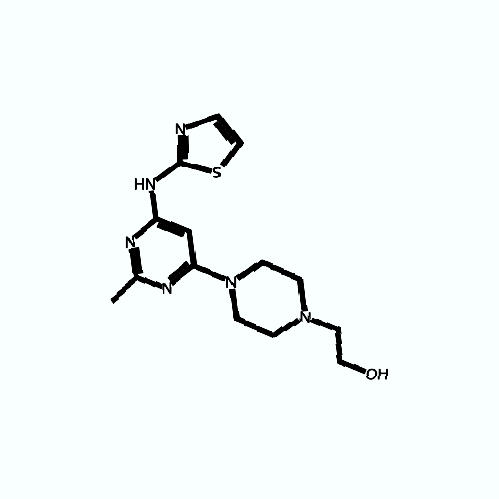 Cc1nc(Nc2nccs2)cc(N2CCN(CCO)CC2)n1